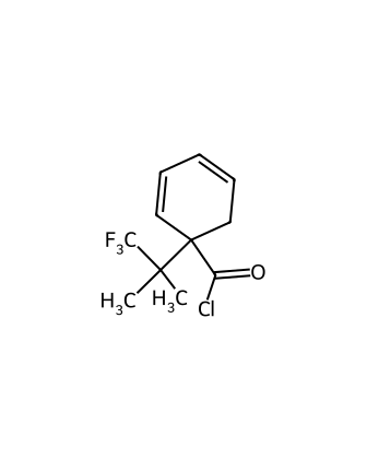 CC(C)(C(F)(F)F)C1(C(=O)Cl)C=CC=CC1